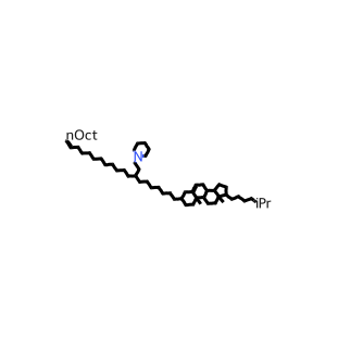 CCCCCCCC/C=C\CCCCCCCCCCC(CCCCCCCC1CCC2(C)C(=CCC3C2CCC2(C)C(CCCCC(C)C)CCC32)C1)CCN1CCCCC1